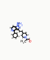 CC(C=O)N1CCC(CCc2nn(N)c3ccnc(C4CCCCC4)c23)CC1